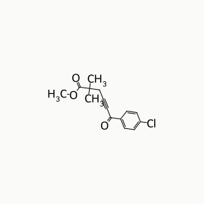 COC(=O)C(C)(C)CC#CC(=O)c1ccc(Cl)cc1